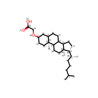 CC(C)CCC[C@@H](C)[C@H]1CCC2C3CCC4CC(OCC(=O)O)CC[C@]4(C)C3CC[C@@]21C